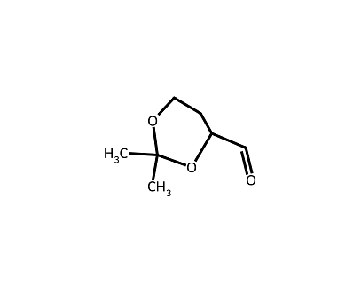 CC1(C)OCCC(C=O)O1